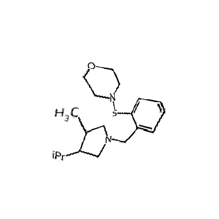 CC(C)C1CN(Cc2ccccc2SN2CCOCC2)CC1C